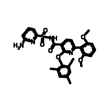 COc1cccc(OC)c1-c1ccc(C(=O)NS(=O)(=O)c2cccc(N)n2)c(Oc2c(C)cc(C)cc2C)n1